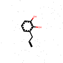 C=CCc1cccc(O)c1O